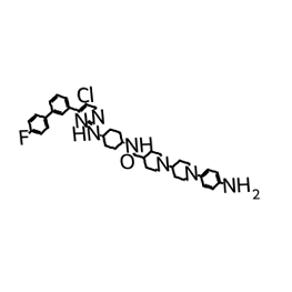 Nc1ccc(N2CCC(N3CCC(C(=O)N[C@H]4CC[C@H](Nc5ncc(Cl)c(-c6cccc(-c7ccc(F)cc7)c6)n5)CC4)CC3)CC2)cc1